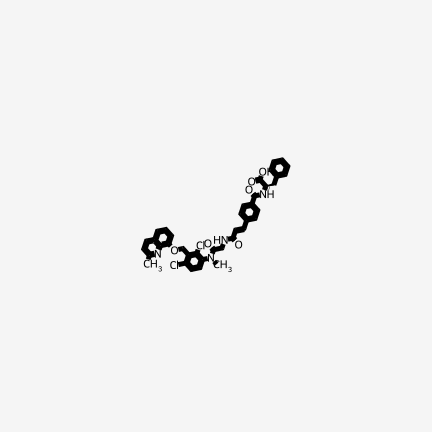 Cc1ccc2cccc(OCc3c(Cl)ccc(N(C)C(=O)CNC(=O)C=Cc4ccc(C(=O)N[C@H](Cc5ccccc5)C(=O)O)cc4)c3Cl)c2n1